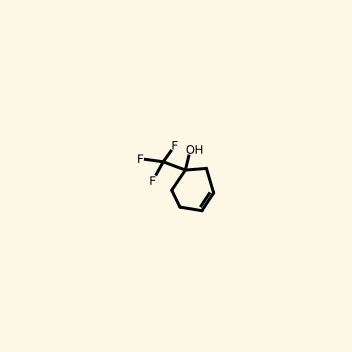 OC1(C(F)(F)F)CC=CCC1